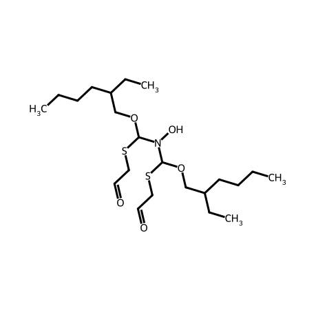 CCCCC(CC)COC(SCC=O)N(O)C(OCC(CC)CCCC)SCC=O